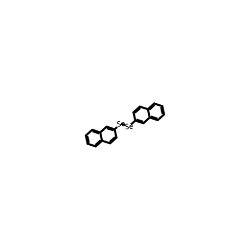 c1ccc2cc([Se][Se]c3ccc4ccccc4c3)ccc2c1